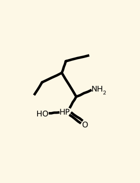 CCC(CC)C(N)[PH](=O)O